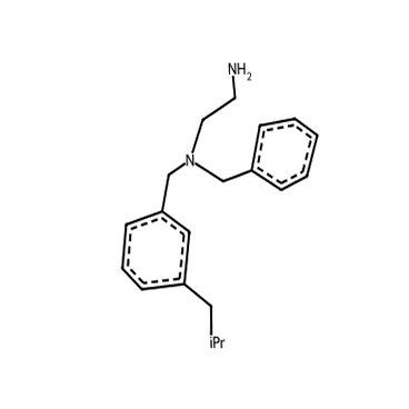 CC(C)Cc1cccc(CN(CCN)Cc2ccccc2)c1